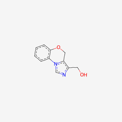 OCc1ncn2c1COc1ccccc1-2